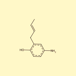 CC=CCc1cc(N)ccc1O